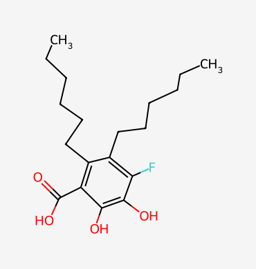 CCCCCCc1c(F)c(O)c(O)c(C(=O)O)c1CCCCCC